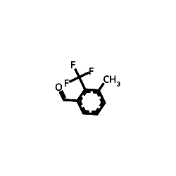 Cc1cccc(C=O)c1C(F)(F)F